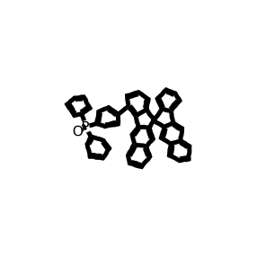 O=P(c1ccccc1)(c1ccccc1)c1ccc(-c2cccc3c2-c2cc4ccccc4cc2C32c3ccccc3-c3cc4ccccc4cc32)cc1